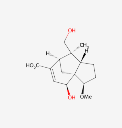 CO[C@@H]1CC[C@H]2[C@](C)(CO)[C@H]3C[C@@]12[C@@H](O)C=C3C(=O)O